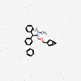 CN(C)[C@H](COCc1cc2cc-2c1)C(c1ccccc1)c1ccccc1.[c]1ccccc1